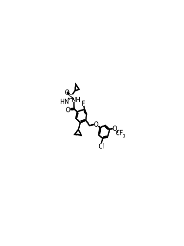 N=S(=O)(NC(=O)c1cc(C2CC2)c(COc2cc(Cl)cc(OC(F)(F)F)c2)cc1F)C1CC1